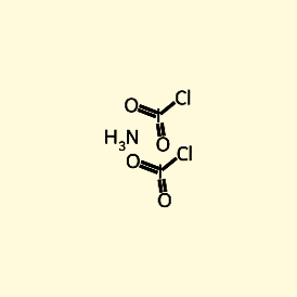 N.O=I(=O)Cl.O=I(=O)Cl